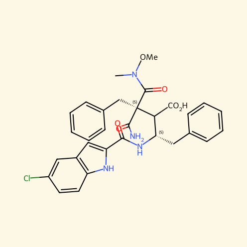 CON(C)C(=O)[C@](Cc1ccccc1)(C(N)=O)C(C(=O)O)[C@H](Cc1ccccc1)NC(=O)c1cc2cc(Cl)ccc2[nH]1